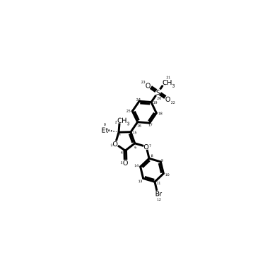 CC[C@@]1(C)OC(=O)C(Oc2ccc(Br)cc2)=C1c1ccc(S(C)(=O)=O)cc1